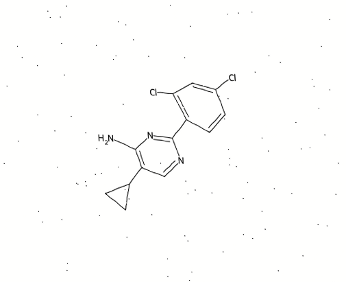 Nc1nc(-c2ccc(Cl)cc2Cl)ncc1C1CC1